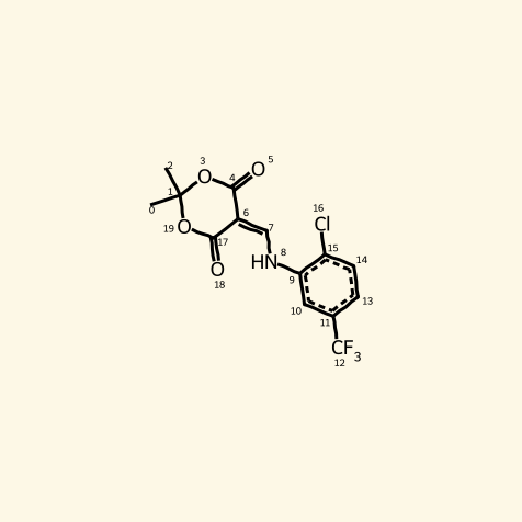 CC1(C)OC(=O)C(=CNc2cc(C(F)(F)F)ccc2Cl)C(=O)O1